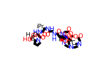 CC(C)[C@H](NC(=O)CNC(=O)CC[C@H]1C(=O)OC23OC(=O)CN4CCN(CCN1CCN(CC4)CC(=O)O2)CC(=O)O3)C(=O)N[C@H](C)C(=O)N1CCC[C@H]1B(O)O